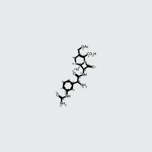 CC(=O)OCC1=C(C(=O)O)N2C(=O)C(NC(=O)C(N)c3cccc(NC(N)=O)c3)[C@H]2SC1